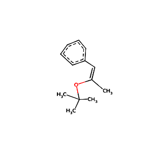 CC(=Cc1ccccc1)OC(C)(C)C